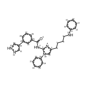 O=C(Nc1nc(CCCCNc2ccccc2)cn1-c1ccccc1)c1cccc(-c2cn[nH]c2)c1